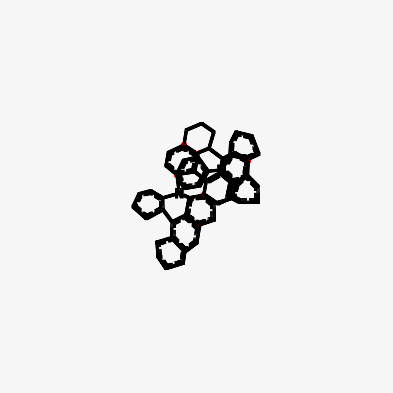 C1=c2cccc(C3CCCCC3)c2=C(c2ccccc2N(c2cccc(-c3cccc4c5ccccc5n(-c5ccccc5)c34)c2)c2ccccc2-c2cccc3ccccc23)CC1